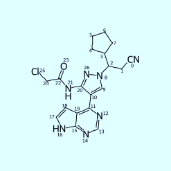 N#CCC(C1CCCC1)n1cc(-c2ncnc3[nH]ccc23)c(NC(=O)CCl)n1